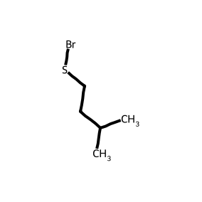 CC(C)CCSBr